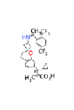 C[C@H](C(=O)O)[C@H](c1ccc2c(c1)OC1(CC2)CC(N[C@H](C)c2cc(C(F)(F)F)ccc2C(F)(F)F)C1)C1CC1